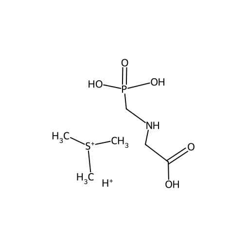 C[S+](C)C.O=C(O)CNCP(=O)(O)O.[H+]